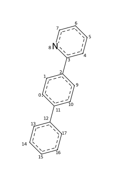 [c]1cc(-c2ccccn2)ccc1-c1ccccc1